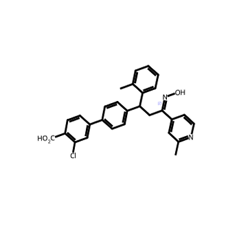 Cc1cc(/C(CC(c2ccc(-c3ccc(C(=O)O)c(Cl)c3)cc2)c2ccccc2C)=N\O)ccn1